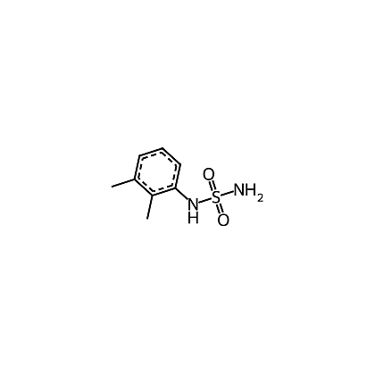 Cc1cccc(NS(N)(=O)=O)c1C